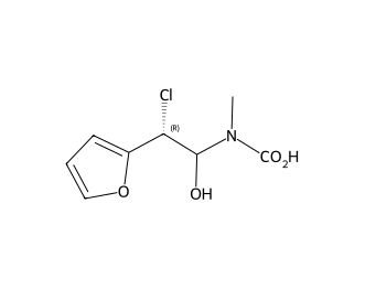 CN(C(=O)O)C(O)[C@@H](Cl)c1ccco1